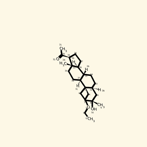 CCOCC[C@]12CC[C@@](C)(O)C[C@@H]1CC[C@H]1[C@@H]3CC[C@H](C(C)=O)[C@@]3(C)CC[C@@H]12